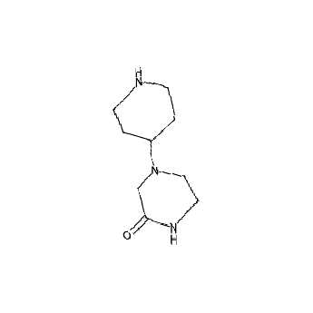 O=C1CN(C2CCNCC2)CCN1